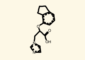 O=C(O)C(Cn1ccnc1)Oc1cccc2c1CCC2